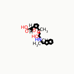 C[C@@H](OCC(O)CNC(C)(C)CC1Cc2ccccc2C1)c1cccc2c1O[C@@H]1[C@@H](C(=O)O)[C@H]21